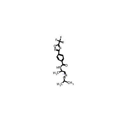 CC(/C=N\OC(C)C)NC(=O)c1ccc(-c2noc(C(F)(F)F)n2)cc1